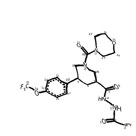 CC(C)C(=O)NNC(=O)C1CC(c2ccc(OC(F)(F)F)cc2)CN(C(=O)N2CCOCC2)C1